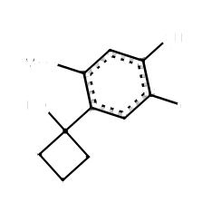 COc1cc(C)c(Cl)cc1C1(O)CCC1